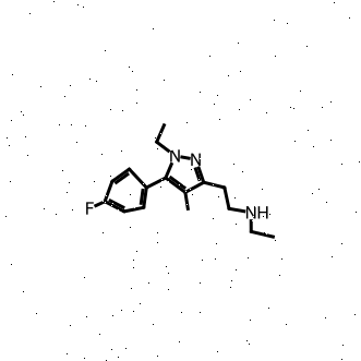 CCNCCc1nn(CC)c(-c2ccc(F)cc2)c1C